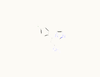 NCCC(c1ccc(Cl)cc1)n1ccnc1